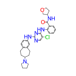 O=C(NC1CCOC1)c1ccccc1Nc1nc(Nc2ccc3c(c2)CCC(N2CCCC2)CC3)ncc1Cl